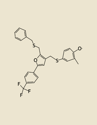 Cc1cc(SCc2cc(-c3ccc(C(F)(F)F)cc3)oc2CSCc2ccccc2)ccc1[O]